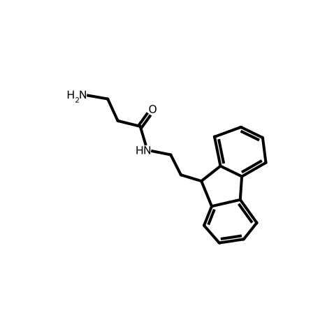 NCCC(=O)NCCC1c2ccccc2-c2ccccc21